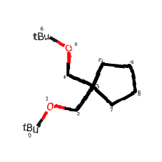 CC(C)(C)OCC1(COC(C)(C)C)CCCC1